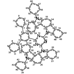 c1ccc(-c2cc(-c3ccccc3)cc(-c3nc(-n4c5ccccc5c5ccc6c(c7ccccc7n6-c6ccccc6)c54)nc(-n4c5ccccc5c5ccc6c(c7ccccc7n6-c6ccccc6)c54)n3)c2)cc1